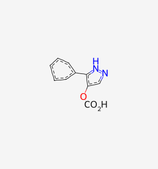 O=C(O)Oc1cn[nH]c1-c1ccccc1